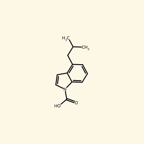 CC(C)Cc1cccc2c1ccn2C(=O)O